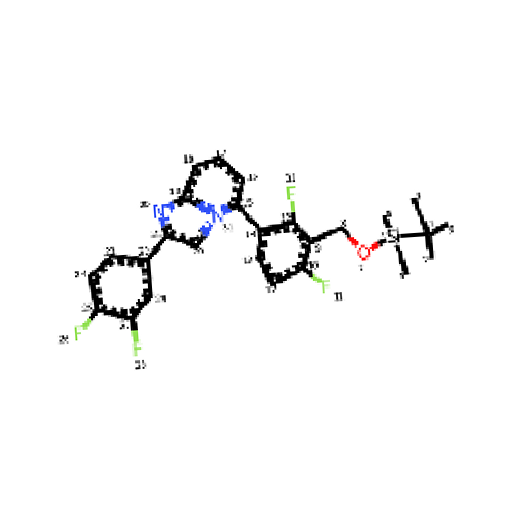 CC(C)(C)[Si](C)(C)OCc1c(F)ccc(-c2cccc3nc(-c4ccc(F)c(F)c4)cn23)c1F